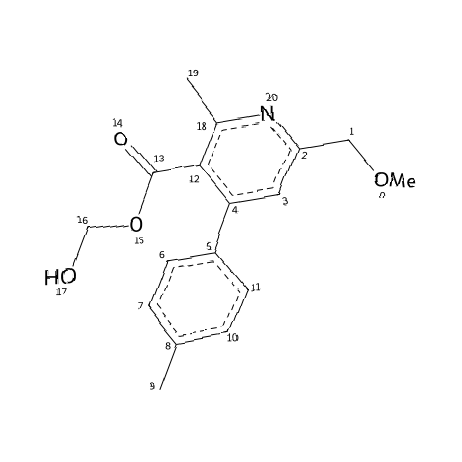 COCc1cc(-c2ccc(C)cc2)c(C(=O)OCO)c(C)n1